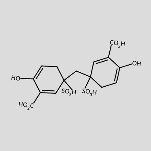 O=C(O)C1=CC(CC2(S(=O)(=O)O)C=C(C(=O)O)C(O)=CC2)(S(=O)(=O)O)CC=C1O